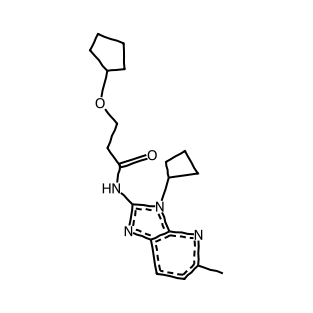 Cc1ccc2nc(NC(=O)CCOC3CCCC3)n(C3CCC3)c2n1